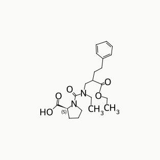 CCOC(=O)C(CCc1ccccc1)CN(CC)C(=O)N1CCC[C@H]1C(=O)O